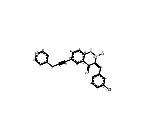 O=C1/C(=C\c2cccc(Cl)c2)[S+]([O-])Nc2ccc(C#CCc3ccncc3)cc21